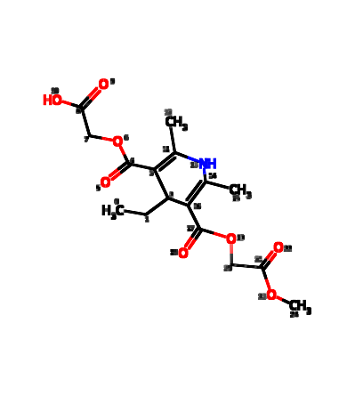 CCC1C(C(=O)OCC(=O)O)=C(C)NC(C)=C1C(=O)OCC(=O)OC